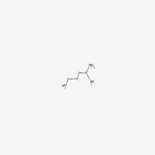 CCCCCCC(N)S